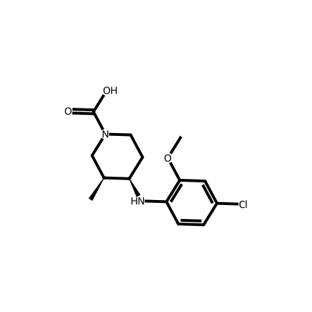 COc1cc(Cl)ccc1N[C@@H]1CCN(C(=O)O)C[C@@H]1C